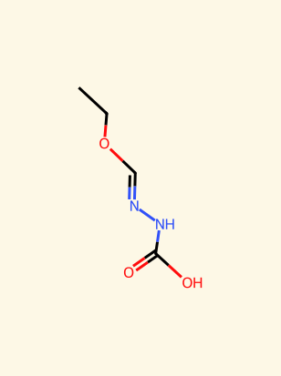 CCO/C=N/NC(=O)O